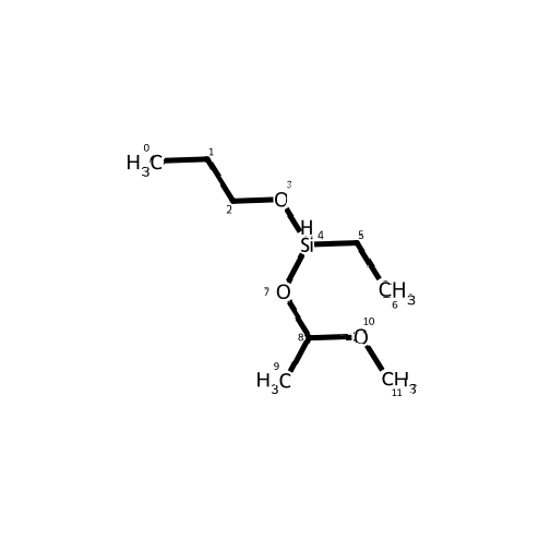 CCCO[SiH](CC)OC(C)OC